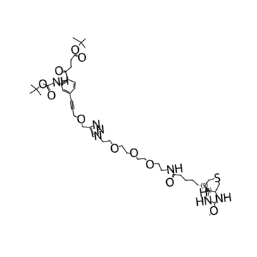 COC1NC2CSC[C@@H](CCCCC(=O)NCCOCCOCCOCCn3cc(COCC#Cc4ccc(C(=O)CCC(=O)OC(C)(C)C)c(NC(=O)OC(C)(C)C)c4)nn3)[C@H]2N1